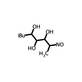 CCC(C)C(O)C(O)C(O)C(C)N=O